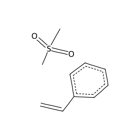 C=Cc1ccccc1.CS(C)(=O)=O